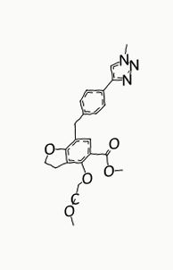 COCCOc1c(C(=O)OC)cc(Cc2ccc(-c3cn(C)nn3)cc2)c2c1CCO2